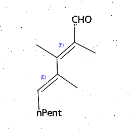 CCCCC/C=C(C)/C(C)=C(\C)C=O